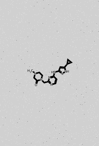 CN1CCN(Cc2nccc(Nc3cc(C4CC4)[nH]n3)n2)C(=O)C1